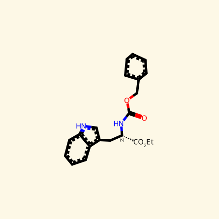 CCOC(=O)[C@H](Cc1c[nH]c2ccccc12)NC(=O)OCc1ccccc1